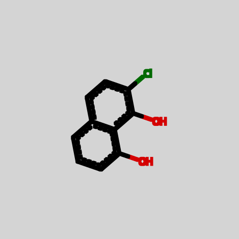 Oc1cccc2ccc(Cl)c(O)c12